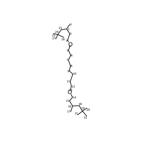 CC(CCOCCCCCCCCOCCC(C)CC(C)(C)C)CC(C)(C)C